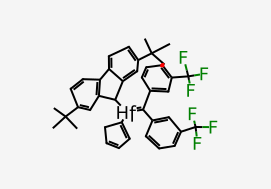 CC(C)(C)c1ccc2c(c1)[CH]([Hf]([C]1=CC=CC1)=[C](c1cccc(C(F)(F)F)c1)c1cccc(C(F)(F)F)c1)c1cc(C(C)(C)C)ccc1-2